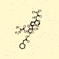 CCN(CC)C(=O)Nc1ncnn2c([C@]3(C#N)O[C@H](COC(=O)CC4CCCCC4)[C@@H](OC(=O)[C@@H](N)C(C)C)[C@H]3O)ccc12